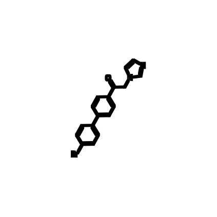 O=C(Cn1ccnc1)c1ccc(-c2ccc(Br)cc2)cc1